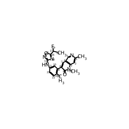 Cc1cc2c(cn1)cc(-c1cc(Nc3noc(C(C)F)n3)ccc1C)c(=O)n2C